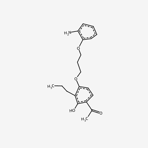 CCCc1c(OCCCOc2ccccc2N)ccc(C(C)=O)c1O